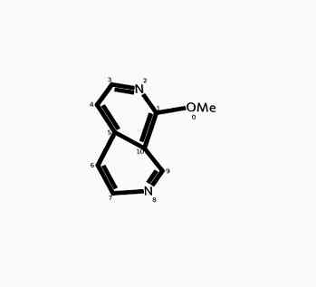 COc1nccc2ccncc12